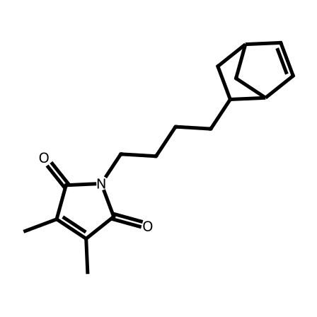 CC1=C(C)C(=O)N(CCCCC2CC3C=CC2C3)C1=O